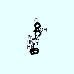 CC(C)[C@@H](NC(=O)NC12CC3CC(CC(C3)C1)C2)C(=O)N1CC[C@](O)(c2ccc(Cl)cc2)C(C)(C)C1